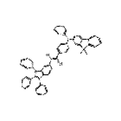 [2H]/C(=C(/[2H])c1ccc2c(-c3ccccc3)c(-c3ccccc3)n(-c3ccccc3)c2c1)c1ccc(N(c2ccccc2)c2ccc3c(c2)C(C)(C)c2ccccc2-3)cc1